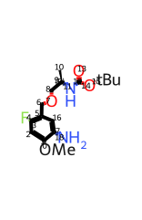 COc1cc(F)c(COC[C@@H](C)NC(=O)OC(C)(C)C)cc1N